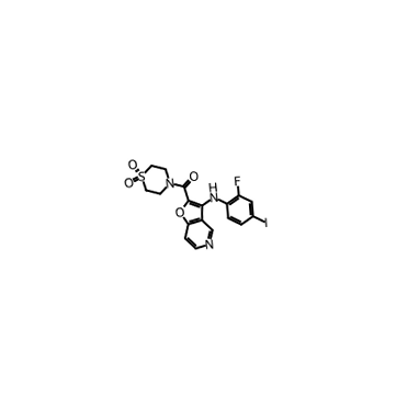 O=C(c1oc2ccncc2c1Nc1ccc(I)cc1F)N1CCS(=O)(=O)CC1